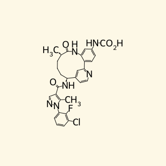 Cc1c(C(=O)N[C@H]2CCC[C@@H](C)C(=O)Nc3cc(NC(=O)O)ccc3-c3cc2ccn3)cnn1-c1cccc(Cl)c1F